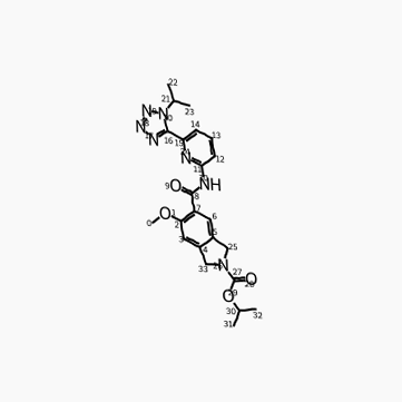 COc1cc2c(cc1C(=O)Nc1cccc(-c3nnnn3C(C)C)n1)CN(C(=O)OC(C)C)C2